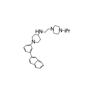 CC(C)N1CCN(CCNC2CCN(c3cccc(-c4ccc5ccccc5c4)c3)CC2)CC1